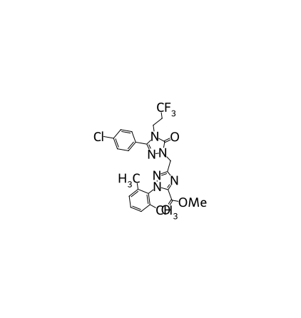 COC(=O)c1nc(Cn2nc(-c3ccc(Cl)cc3)n(CCC(F)(F)F)c2=O)nn1-c1c(C)cccc1C